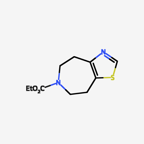 CCOC(=O)N1CCc2ncsc2CC1